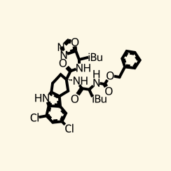 CCC(C)C(NC(=O)OCc1ccccc1)C(=O)N[C@@]1(C(=O)NC(c2nnco2)C(C)CC)CCc2[nH]c3c(Cl)cc(Cl)cc3c2C1